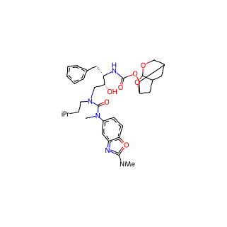 CNc1nc2cc(N(C)C(=O)N(CCC(C)C)C[C@@H](O)[C@H](Cc3ccccc3)NC(=O)OC3C4COC5OC3CC5C4)ccc2o1